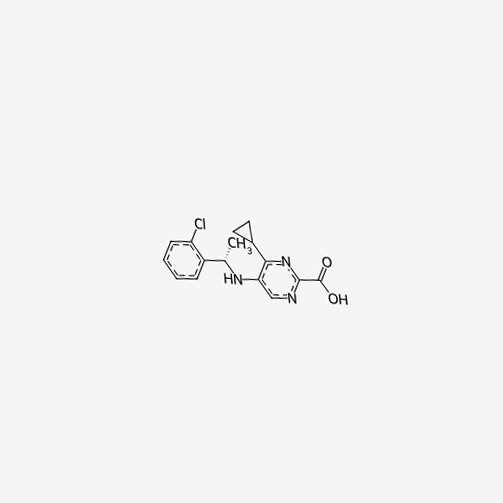 C[C@H](Nc1cnc(C(=O)O)nc1C1CC1)c1ccccc1Cl